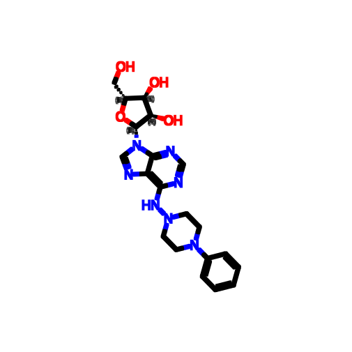 OC[C@H]1O[C@@H](n2cnc3c(NN4CCN(c5ccccc5)CC4)ncnc32)[C@H](O)[C@@H]1O